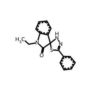 CCN1C(=O)C2(NN=C(c3ccccc3)S2)c2ccccc21